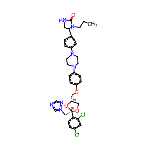 CCCN1C(=O)NCC1c1ccc(N2CCN(c3ccc(OC[C@@H]4CO[C@@](Cn5cncn5)(c5ccc(Cl)cc5Cl)O4)cc3)CC2)cc1